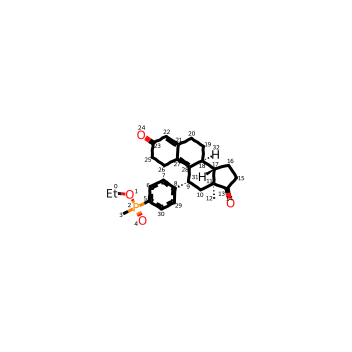 CCOP(C)(=O)c1ccc([C@H]2C[C@]3(C)C(=O)CC[C@H]3[C@@H]3CCC4=CC(=O)CCC4=C32)cc1